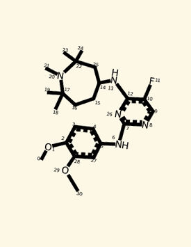 COc1ccc(Nc2ncc(F)c(NC3CCC(C)(C)N(C)C(C)(C)C3)n2)cc1OC